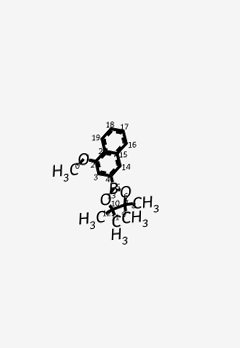 COc1cc(B2OC(C)(C)C(C)(C)O2)cc2ccccc12